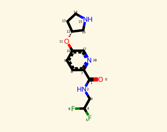 O=C(NCC(F)F)c1ccc(O[C@@H]2CCNC2)cn1